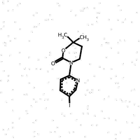 CC1(C)CCN(c2ccc(I)cn2)C(=O)O1